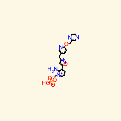 Nc1c(-c2cc(Cc3ccc(OCc4cnccn4)nc3)no2)ccc[n+]1COP(=O)([O-])O